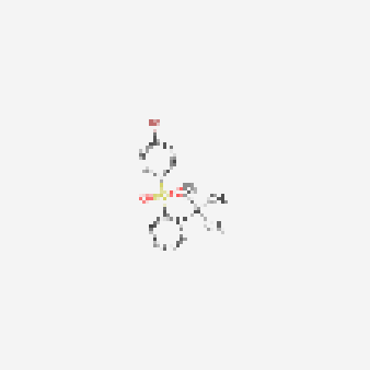 CC(C)(C)c1ccccc1S(=O)(=O)c1ccc(Br)cc1